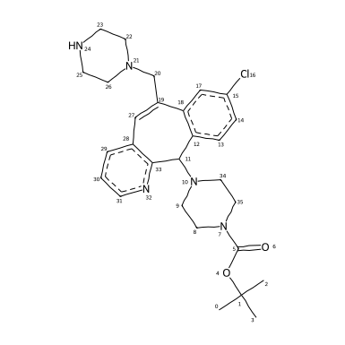 CC(C)(C)OC(=O)N1CCN(C2c3ccc(Cl)cc3C(CN3CCNCC3)=Cc3cccnc32)CC1